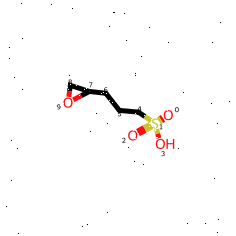 O=S(=O)(O)CCCC1CO1